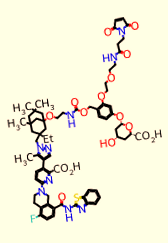 CCC1(Cn2ncc(-c3ccc(N4CCc5c(F)ccc(C(=O)Nc6nc7ccccc7s6)c5C4)nc3C(=O)O)c2C)CC2(C)CC(C)(C)CC(OCCNC(=O)OCc3ccc(O[C@H]4C[C@@H](O)C[C@@H](C(=O)O)O4)cc3OCCOCCNC(=O)CCN3C(=O)C=CC3=O)(C2)C1